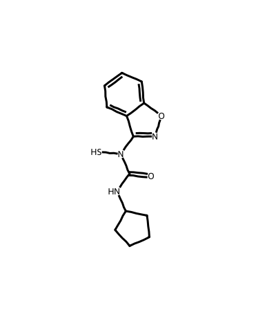 O=C(NC1CCCC1)N(S)c1noc2ccccc12